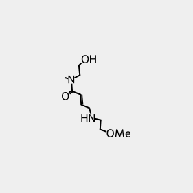 COCCNC/C=C/C(=O)N(C)CCO